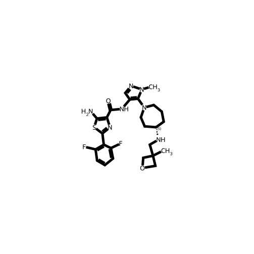 Cn1ncc(NC(=O)c2nc(-c3c(F)cccc3F)sc2N)c1N1CCC[C@H](NCC2(C)COC2)CC1